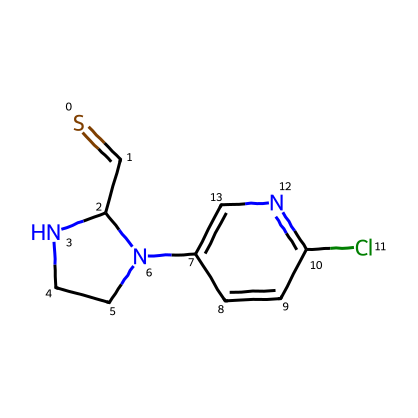 S=CC1NCCN1c1ccc(Cl)nc1